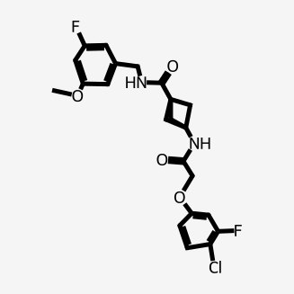 COc1cc(F)cc(CNC(=O)C23CC(NC(=O)COc4ccc(Cl)c(F)c4)(C2)C3)c1